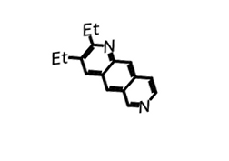 CCc1cc2cc3cnccc3cc2nc1CC